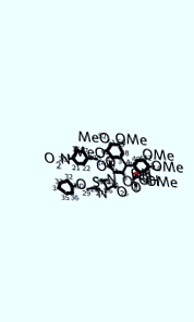 COc1cc(C(C(OP(=O)(O)O)=C(C(=O)OCc2ccc([N+](=O)[O-])cc2)N2C(=O)C3N=C(COc4ccccc4)SC32)c2cc(OC)c(OC)c(OC)c2)cc(OC)c1OC